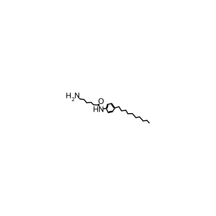 CCCCCCCCCCc1ccc(NC(=O)CCCCCN)cc1